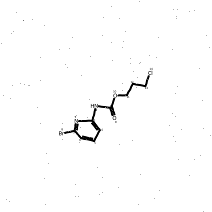 O=C(Nc1cccc(Br)n1)OCCCCl